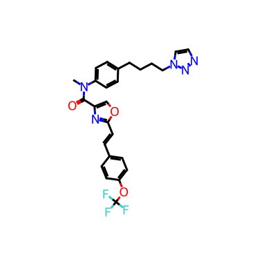 CN(C(=O)c1coc(C=Cc2ccc(OC(F)(F)F)cc2)n1)c1ccc(CCCCn2ccnn2)cc1